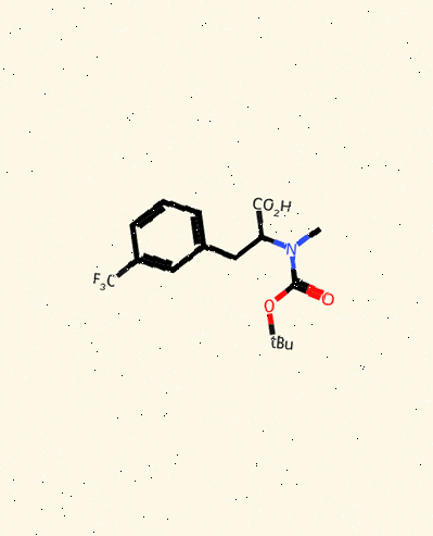 CN(C(=O)OC(C)(C)C)C(Cc1cccc(C(F)(F)F)c1)C(=O)O